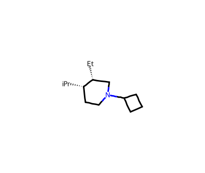 CC[C@@H]1CN(C2CCC2)CC[C@@H]1C(C)C